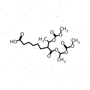 COC(=O)OC(C)OC(=O)C(CCCCCC(=O)O)C(C)OC(=O)OC